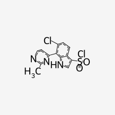 Cc1nccc(-c2c(Cl)ccc3c(S(=O)(=O)Cl)c[nH]c23)n1